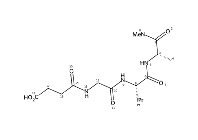 CNC(=O)[C@H](C)NC(=O)[C@@H](NC(=O)CNC(=O)CCC(=O)O)C(C)C